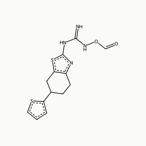 N=C(NOC=O)Nc1nc2c(s1)CC(c1cccs1)CC2